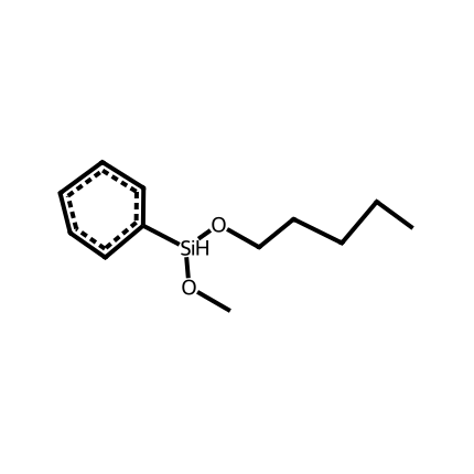 CCCCCO[SiH](OC)c1ccccc1